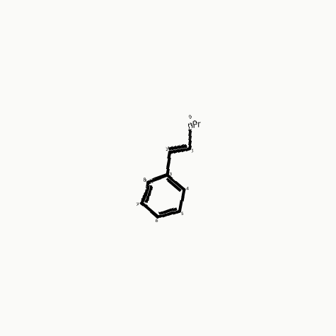 CCCC=Cc1cc[c]cc1